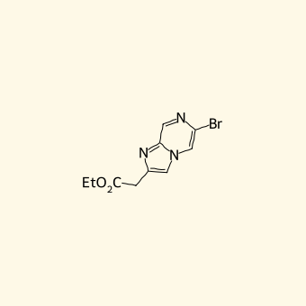 CCOC(=O)Cc1cn2cc(Br)ncc2n1